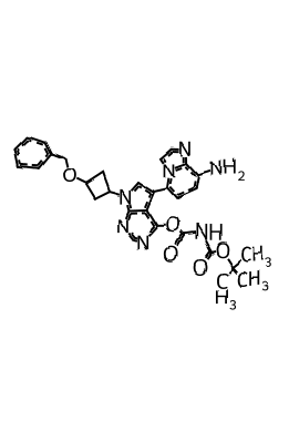 CC(C)(C)OC(=O)NC(=O)Oc1ncnc2c1c(-c1ccc(N)c3nccn13)cn2C1CC(OCc2ccccc2)C1